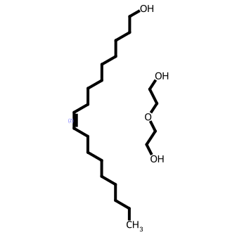 CCCCCCCC/C=C\CCCCCCCCO.OCCOCCO